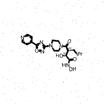 CC(C)C[C@H](C(=O)N1CCN(c2noc(-c3ccncc3)n2)CC1)[C@H](O)C(=O)NO